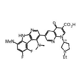 CCN1CC[C@H](n2cc(C(=O)O)c(=O)c3cc(-c4cnc5[nH]c6c(NC)cc(F)c(F)c6c5c4N(C)C)cnc32)C1